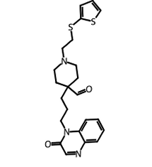 O=CC1(CCCn2c(=O)cnc3ccccc32)CCN(CCSc2cccs2)CC1